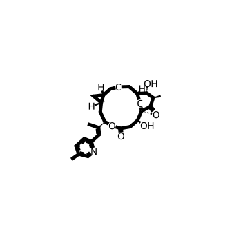 C/C(=C\c1ccc(C)cn1)[C@@H]1C[C@@H]2C[C@@H]2CCC[C@@H]2C[C@@](C)(C(=O)[C@H](C)[C@H]2O)[C@@H](O)CC(=O)O1